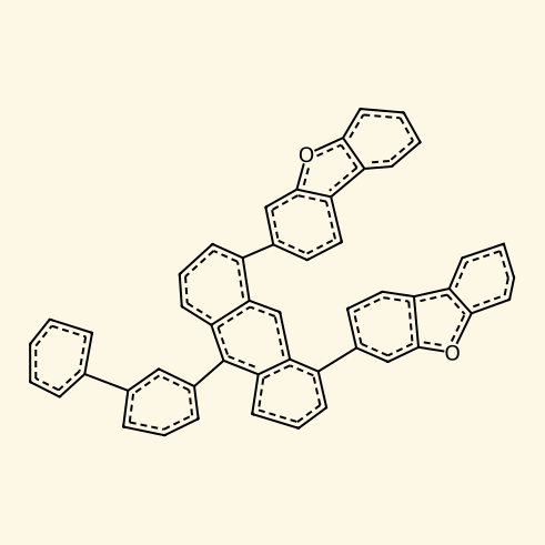 c1ccc(-c2cccc(-c3c4cccc(-c5ccc6c(c5)oc5ccccc56)c4cc4c(-c5ccc6c(c5)oc5ccccc56)cccc34)c2)cc1